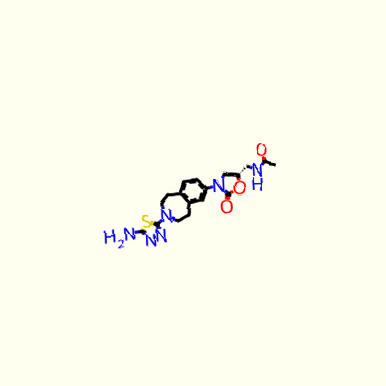 CC(=O)NC[C@H]1CN(c2ccc3c(c2)CCN(c2nnc(N)s2)CC3)C(=O)O1